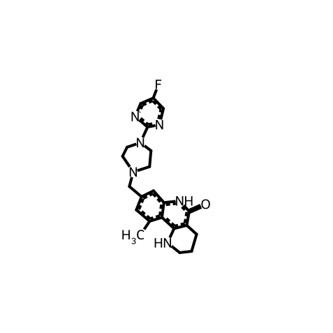 Cc1cc(CN2CCN(c3ncc(F)cn3)CC2)cc2[nH]c(=O)c3c(c12)NCCC3